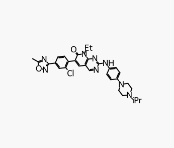 CCn1c(=O)c(-c2ccc(-c3noc(C)n3)cc2Cl)cc2cnc(Nc3ccc(N4CCN(C(C)C)CC4)cc3)nc21